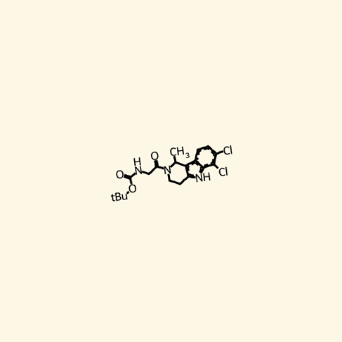 CC1c2c([nH]c3c(Cl)c(Cl)ccc23)CCN1C(=O)CNC(=O)OC(C)(C)C